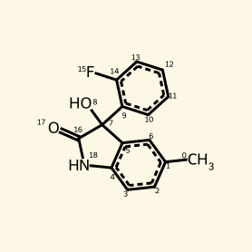 Cc1ccc2c(c1)C(O)(c1ccccc1F)C(=O)N2